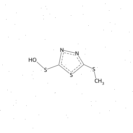 CSc1nnc(SO)s1